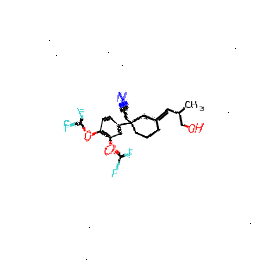 CC(C=C1CCCC(C#N)(c2ccc(OC(F)F)c(OC(F)F)c2)C1)CO